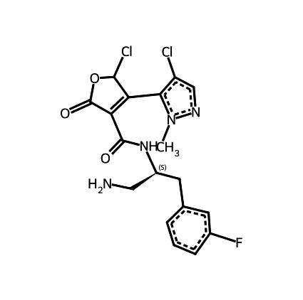 Cn1ncc(Cl)c1C1=C(C(=O)N[C@H](CN)Cc2cccc(F)c2)C(=O)OC1Cl